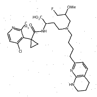 COC(CF)CN(CCCCc1ccc2c(n1)NCCC2)CCC(NC(=O)C1(c2c(Cl)ccnc2C)CC1)C(=O)O